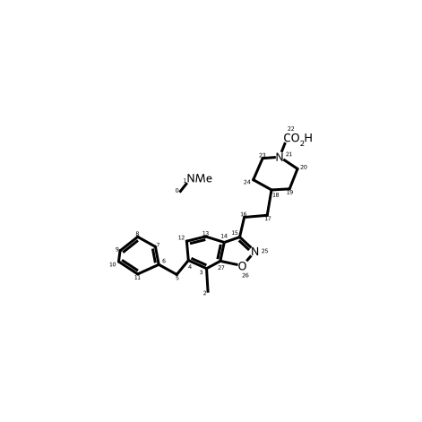 CNC.Cc1c(Cc2ccccc2)ccc2c(CCC3CCN(C(=O)O)CC3)noc12